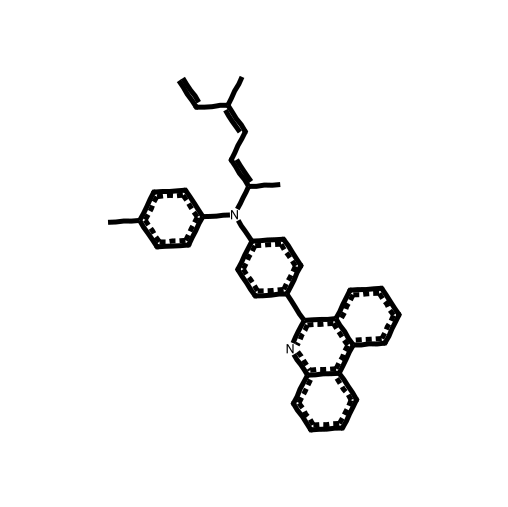 C=C/C(C)=C\C=C(/C)N(c1ccc(C)cc1)c1ccc(-c2nc3ccccc3c3ccccc23)cc1